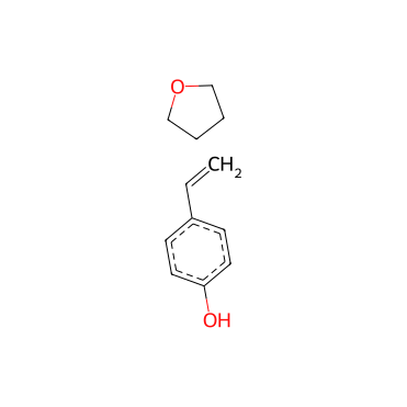 C1CCOC1.C=Cc1ccc(O)cc1